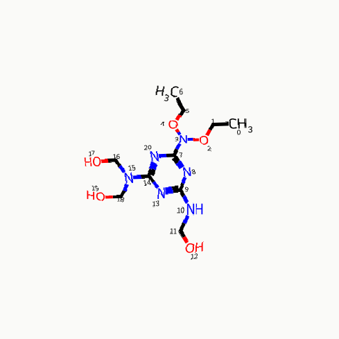 CCON(OCC)c1nc(NCO)nc(N(CO)CO)n1